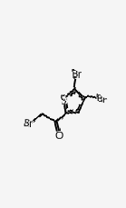 O=C(CBr)c1cc(Br)c(Br)s1